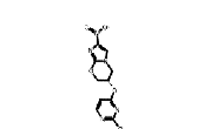 O=[N+]([O-])c1cn2c(n1)OC[C@@H](Oc1ccnc(Cl)n1)C2